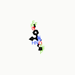 Cn1nc(-c2ccc(OCC(F)(F)F)cc2)c(C2CCC2)c1NC(=O)C[C@@H]1CC(F)(F)C1(F)F